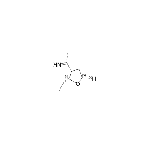 [3H][C@H]1CC(C(C)=N)[C@@H](CC)O1